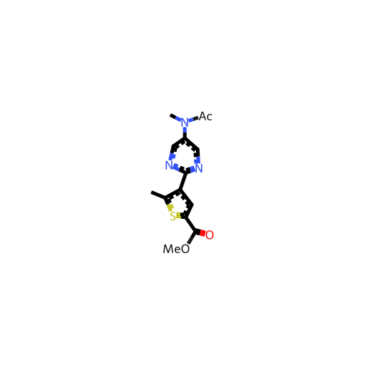 COC(=O)c1cc(-c2ncc(N(C)C(C)=O)cn2)c(C)s1